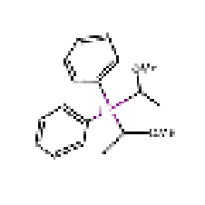 COC(C)[PH](c1ccccc1)(c1ccccc1)C(C)OC